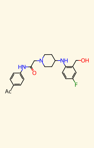 CC(=O)c1ccc(NC(=O)CN2CCC(Nc3ccc(F)cc3CO)CC2)cc1